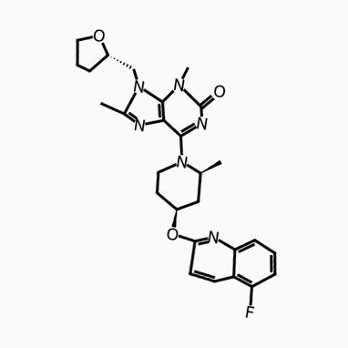 Cc1nc2c(N3CC[C@H](Oc4ccc5c(F)cccc5n4)C[C@@H]3C)nc(=O)n(C)c2n1C[C@@H]1CCCO1